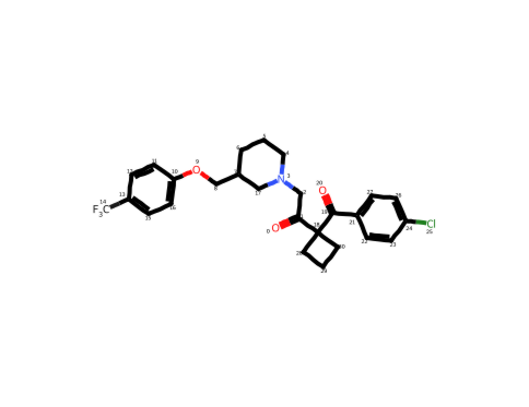 O=C(CN1CCCC(COc2ccc(C(F)(F)F)cc2)C1)C1(C(=O)c2ccc(Cl)cc2)CCC1